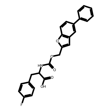 O=C(NC(Cc1ccc(F)cc1)C(=O)O)OCc1cc2cc(-c3ccccc3)ccc2o1